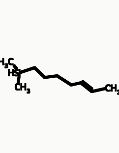 CC=CCCCC[SiH](C)C